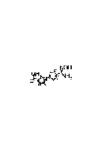 NC(=NO)c1ccc(-n2ccc(C(=O)O)n2)cc1